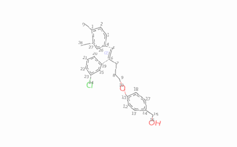 Cc1ccc(/C=C(/CCCOc2ccc(CO)cc2)c2cccc(Cl)c2)cc1C